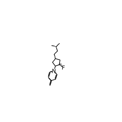 C=C1C=CN(C2CC(CCC(C)C)C[C@H]2F)C=C1